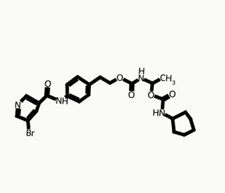 CC(NC(=O)OCCc1ccc(NC(=O)c2cncc(Br)c2)cc1)OC(=O)NC1CCCCC1